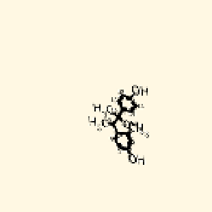 Cc1cc(O)ccc1C(C)C(C)(C)c1ccc(O)cc1